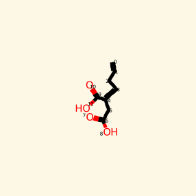 C=CCC=C(CC(=O)O)C(=O)O